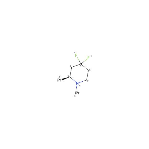 CC(C)[C@H]1CC(F)(F)CCN1C(C)C